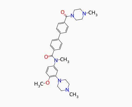 COc1ccc(N(C)C(=O)c2ccc(-c3ccc(C(=O)N4CCN(C)CC4)cc3)cc2)cc1N1CCN(C)CC1